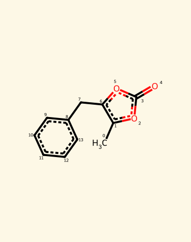 Cc1oc(=O)oc1Cc1ccccc1